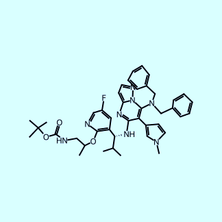 CC(CNC(=O)OC(C)(C)C)Oc1ncc(F)cc1[C@H](Nc1nc2ccnn2c(N(Cc2ccccc2)Cc2ccccc2)c1-c1ccn(C)c1)C(C)C